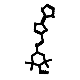 CON1C(C)(C)CC(N=CC2=CSC(=C3SC=CS3)S2)CC1(C)C